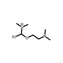 [CH2]CC(OCCN(C)C)[SiH](C)C